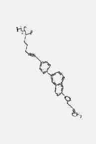 C=CCOc1ccc2cc(-c3ccc(C#CCCCC(C)F)cc3)ccc2c1